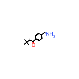 CC(C)(C)[CH]C(=O)c1ccc(CN)cc1